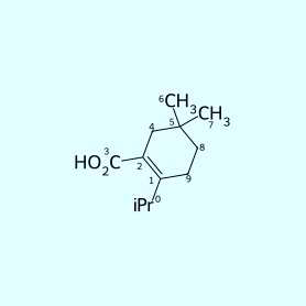 CC(C)C1=C(C(=O)O)CC(C)(C)CC1